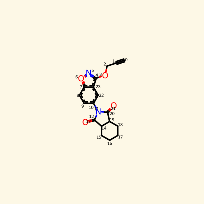 C#CCOc1noc2ccc(N3C(=O)C4CCCCC4C3=O)cc12